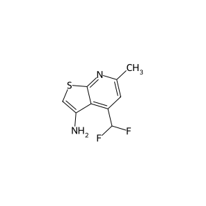 Cc1cc(C(F)F)c2c(N)csc2n1